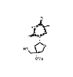 CO[C@@]1(CO)CO[C@@H](n2cc(C)c(=O)[nH]c2=O)C1